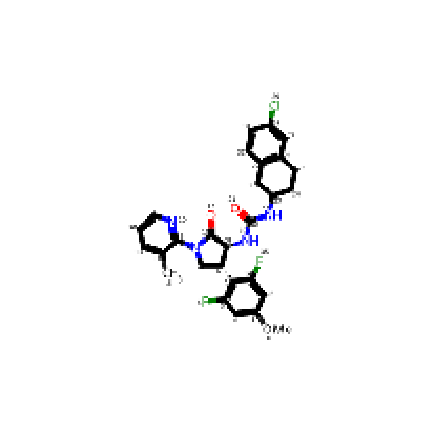 COc1cc(F)c([C@@H]2CN(c3ncccc3C(F)(F)F)C(=O)[C@H]2NC(=O)NC2CCc3cc(Cl)ccc3C2)c(F)c1